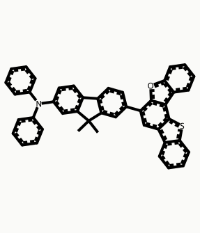 CC1(C)c2cc(-c3cc4c5ccccc5sc4c4c3oc3ccccc34)ccc2-c2ccc(N(c3ccccc3)c3ccccc3)cc21